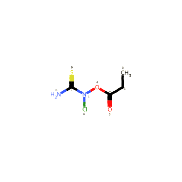 CCC(=O)ON(Cl)C(N)=S